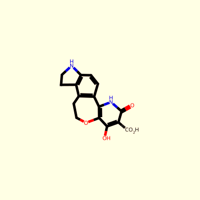 O=C(O)c1c(O)c2c([nH]c1=O)-c1ccc3c(c1CCO2)CCN3